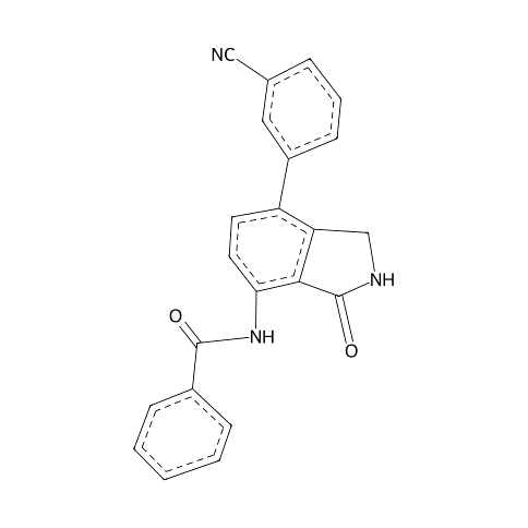 N#Cc1cccc(-c2ccc(NC(=O)c3ccccc3)c3c2CNC3=O)c1